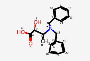 CC([C@H](O)C(=O)O)N(Cc1ccccc1)Cc1ccccc1